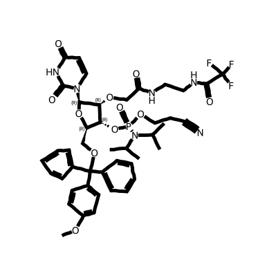 COc1ccc(C(OC[C@H]2O[C@@H](n3ccc(=O)[nH]c3=O)[C@H](OCC(=O)NCCNC(=O)C(F)(F)F)[C@@H]2OP(=O)(OCCC#N)N(C(C)C)C(C)C)(c2ccccc2)c2ccccc2)cc1